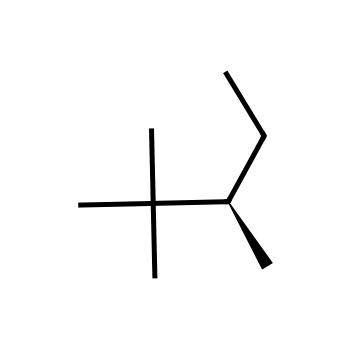 CC[C@@H](C)C(C)(C)C